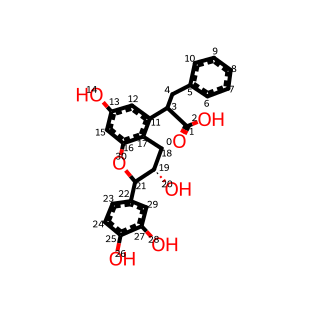 O=C(O)C(Cc1ccccc1)c1cc(O)cc2c1C[C@H](O)C(c1ccc(O)c(O)c1)O2